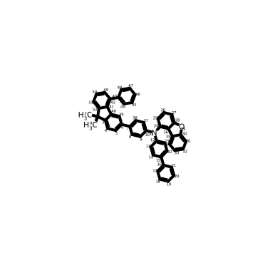 CC1(C)c2ccc(-c3ccc(N(c4ccc(-c5ccccc5)cc4)c4cccc5oc6ccccc6c45)cc3)cc2-c2c(-c3ccccc3)cccc21